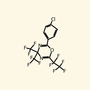 FC(F)(F)C(F)(F)C1=NC(C(F)(F)F)(C(F)(F)F)N=C(c2ccc(Cl)cc2)O1